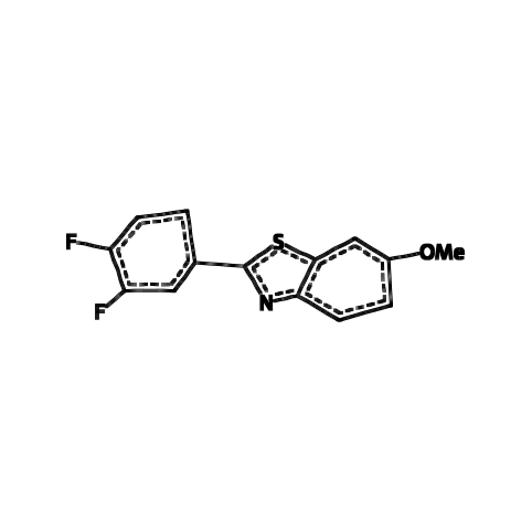 COc1ccc2nc(-c3ccc(F)c(F)c3)sc2c1